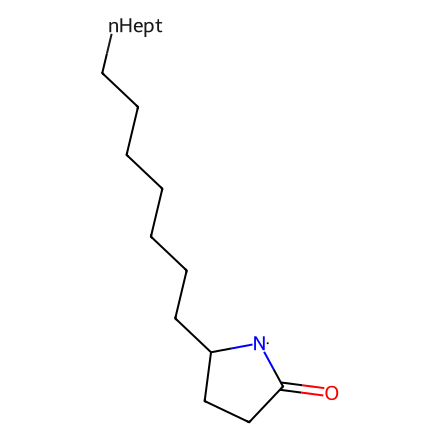 CCCCCCCCCCCCCCC1CCC(=O)[N]1